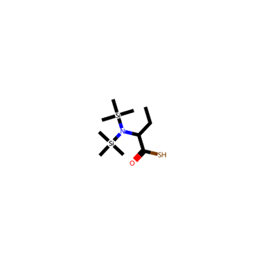 CCC(C(=O)S)N([Si](C)(C)C)[Si](C)(C)C